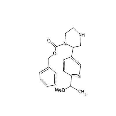 COC(C)c1ccc(C2CNCCN2C(=O)OCc2ccccc2)cn1